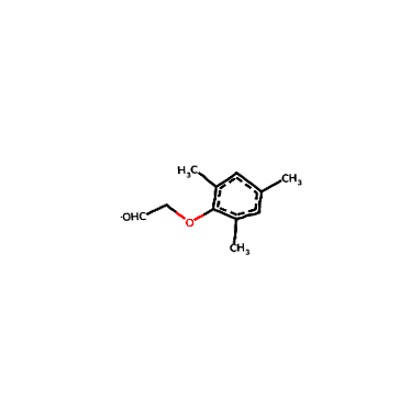 Cc1cc(C)c(OC[C]=O)c(C)c1